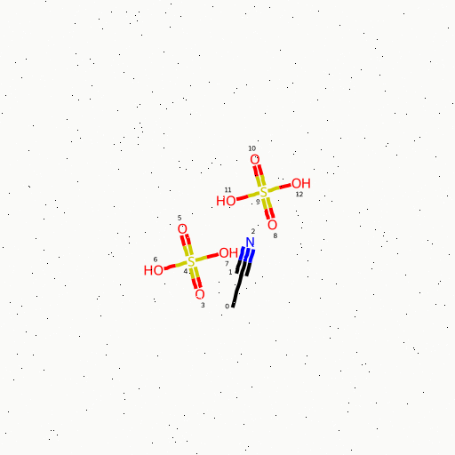 CC#N.O=S(=O)(O)O.O=S(=O)(O)O